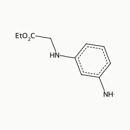 CCOC(=O)CNc1cccc([NH])c1